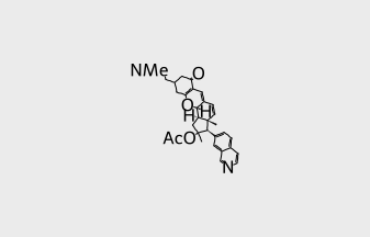 CNCC1CC(=O)C2=C(C1)O[C@@H]1C(=C2)C=C[C@@]2(C)[C@H]1CC(C)(OC(C)=O)[C@@H]2c1ccc2ccncc2c1